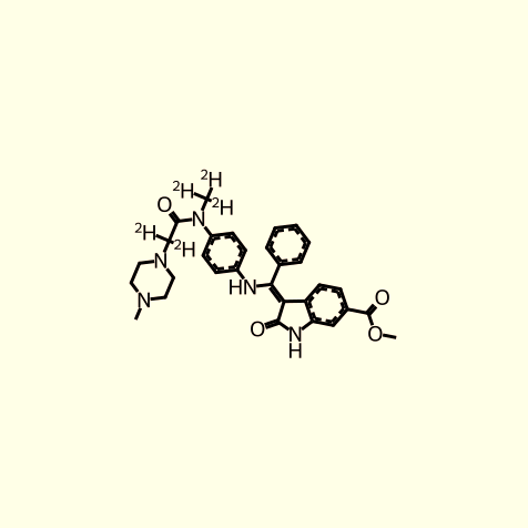 [2H]C([2H])([2H])N(C(=O)C([2H])([2H])N1CCN(C)CC1)c1ccc(N/C(=C2\C(=O)Nc3cc(C(=O)OC)ccc32)c2ccccc2)cc1